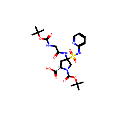 CC(C)(C)OC(=O)NCC(=O)NC1(S(=O)(=O)Nc2ccccn2)C[C@@H](C(=O)O)N(C(=O)OC(C)(C)C)C1